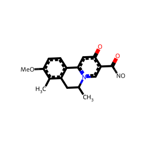 COc1ccc2c(c1C)CC(C)n1cc(C(=O)N=O)c(=O)cc1-2